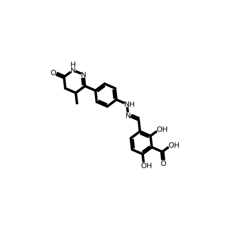 CC1CC(=O)NN=C1c1ccc(NN=Cc2ccc(O)c(C(=O)O)c2O)cc1